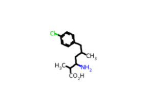 CC(Cc1ccc(Cl)cc1)CC(N)C(C)C(=O)O